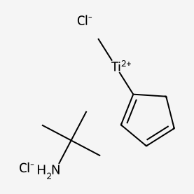 CC(C)(C)N.[CH3][Ti+2][C]1=CC=CC1.[Cl-].[Cl-]